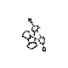 N#Cc1ccc2c(c1)C1(c3ccccc3-c3ccccc31)c1cc(Cl)ccc1-2